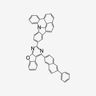 c1ccc(-c2ccc3cc(-c4nc(-c5ccc6c(c5)c5ccc7cccc8c9ccccc9n6c5c78)nc5oc6ccccc6c45)ccc3c2)cc1